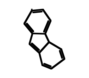 [c]1ccc2c(c1)C=C1C=CC=CC12